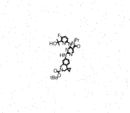 CC(C)n1c(=O)c2cnc(Nc3ccc4c(c3)CN(C(=O)OC(C)(C)C)CC43CC3)nc2n1-c1ccc(F)c(C(C)(C)O)n1